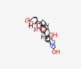 C[C@]12CC[C@H](N3CCC(O)C3)C[C@@]1(O)CC[C@@H]1[C@@H]2CC[C@]2(C)[C@@H](c3ccc(=O)oc3)CC[C@]12O